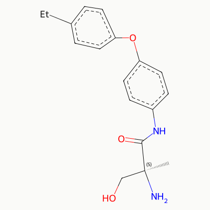 CCc1ccc(Oc2ccc(NC(=O)[C@@](C)(N)CO)cc2)cc1